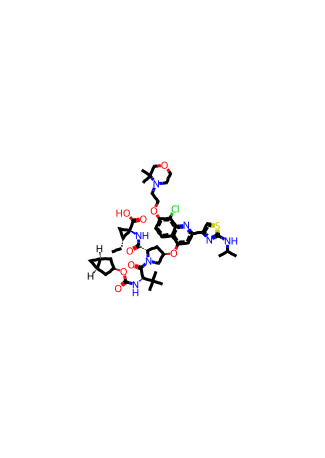 CC[C@@H]1C[C@]1(NC(=O)[C@@H]1C[C@@H](Oc2cc(-c3csc(NC(C)C)n3)nc3c(Cl)c(OCCN4CCOCC4(C)C)ccc23)CN1C(=O)[C@@H](NC(=O)O[C@@H]1C[C@@H]2C[C@@H]2C1)C(C)(C)C)C(=O)O